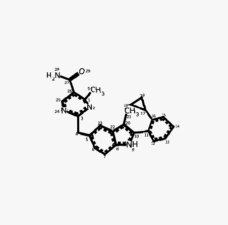 Cc1nc(Cc2ccc3[nH]c(-c4ccccc4C4CC4)c(C)c3c2)ncc1C(N)=O